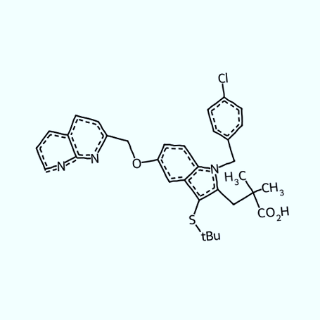 CC(C)(C)Sc1c(CC(C)(C)C(=O)O)n(Cc2ccc(Cl)cc2)c2ccc(OCc3ccc4cccnc4n3)cc12